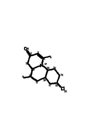 CC1=CC(=O)CC2C(C)CC3CC(Cl)CCC3N12